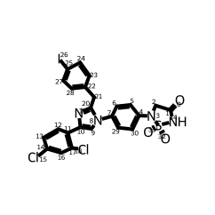 O=C1CN(c2ccc(-n3cc(-c4ccc(Cl)cc4Cl)nc3Cc3ccc(I)cc3)cc2)S(=O)(=O)N1